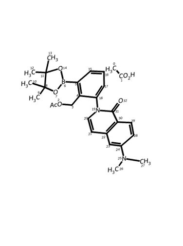 CC(=O)O.CC(=O)OCc1c(B2OC(C)(C)C(C)(C)O2)cccc1-n1ccc2cc(N(C)C)ccc2c1=O